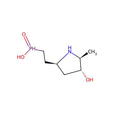 C[C@@H]1N[C@H](CC[PH](=O)O)C[C@H]1O